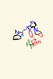 O=C(O)C(F)(F)F.O=C1c2c(N3CCOCC3)ccnc2CN1CCc1cnc2ccccc2n1